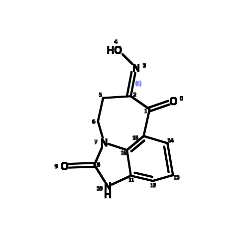 O=C1/C(=N/O)CCn2c(=O)[nH]c3cccc1c32